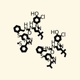 CCC(C)(C)c1cc(NC(=O)NCc2ccccc2Sc2ccc3nnc(-c4ccccc4SC)n3c2)n(-c2ccc(O)c(Cl)c2)n1.CCC(C)(C)c1cc(NC(=O)NCc2ccccc2Sc2ccc3nnc(C(C)C)n3c2)n(-c2ccc(O)c(Cl)c2)n1